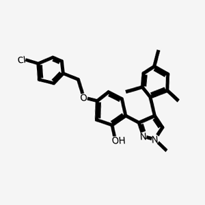 Cc1cc(C)c(-c2cn(C)nc2-c2ccc(OCc3ccc(Cl)cc3)cc2O)c(C)c1